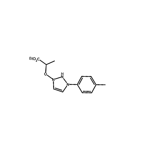 CCOC(=O)C(C)ON1C=CN(c2ccc(C)cc2)N1